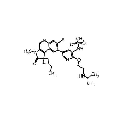 CC[C@H]1C[C@@]2(C1)C(=O)N(C)c1cnc3cc(F)c(-c4cnc(OCCNC(C)C)c(NS(C)(=O)=O)c4)cc3c12